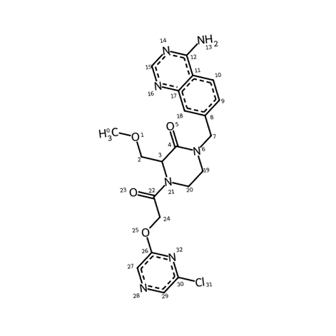 COCC1C(=O)N(Cc2ccc3c(N)ncnc3c2)CCN1C(=O)COc1cncc(Cl)n1